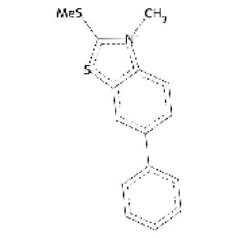 CSc1sc2cc(-c3ccccc3)ccc2[n+]1C